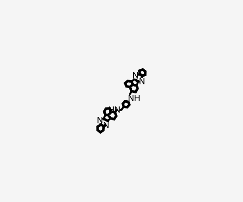 c1ccc2nc3c(nc2c1)-c1cccc2c(CNc4ccc(CNc5ccc6c7c(cccc57)-c5nc7ccccc7nc5-6)cc4)ccc-3c12